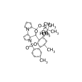 Cc1ccc(S(=O)(=O)n2ccc(-n3cccc3CO[Si](C)(C)C(C)(C)C)c2C(=O)c2ccc(C)cc2C)cc1